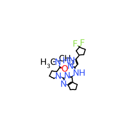 CN(C)C(=O)C1CCCN1c1nc2c(c(Nc3cc(C4CCC(F)(F)C4)[nH]n3)n1)CCC2